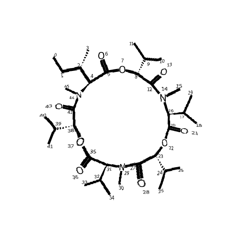 CC[C@H](C)[C@H]1C(=O)O[C@H](C(C)C)C(=O)N(C)[C@@H](C(C)C)C(=O)O[C@H](C(C)C)C(=O)N(C)[C@@H](C(C)C)C(=O)O[C@H](C(C)C)C(=O)N1C